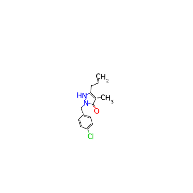 C=CCc1[nH]n(Cc2ccc(Cl)cc2)c(=O)c1C